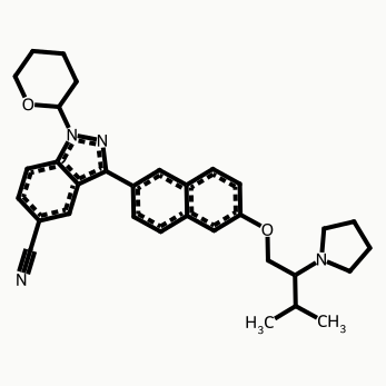 CC(C)C(COc1ccc2cc(-c3nn(C4CCCCO4)c4ccc(C#N)cc34)ccc2c1)N1CCCC1